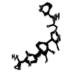 Cc1nn(CC(=O)Nc2ccnnc2)cc1-c1ccc(-c2cnc(C(N)=O)n2C)c(F)c1F